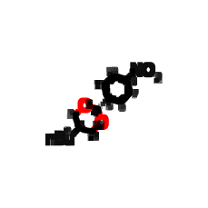 CCCC[C@H]1CO[C@H](c2ccc([N+](=O)[O-])cc2)OC1